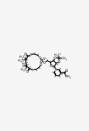 CC1(C)OC2C(COP3(=O)OCCSC(=O)C(C)(C)CC(C)(C)C(=O)SCCO3)OC(N3C=CCC(C(N)=O)=C3)C2O1